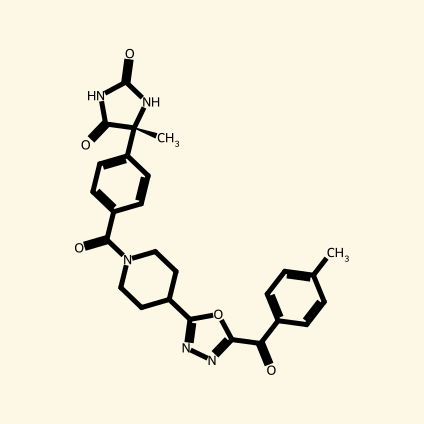 Cc1ccc(C(=O)c2nnc(C3CCN(C(=O)c4ccc([C@@]5(C)NC(=O)NC5=O)cc4)CC3)o2)cc1